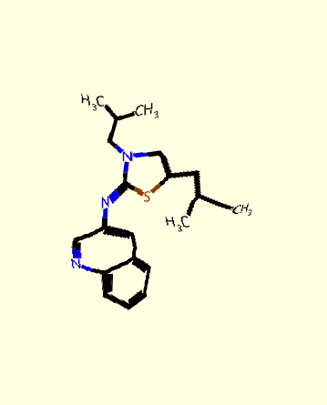 CC(C)CC1CN(CC(C)C)C(=Nc2cnc3ccccc3c2)S1